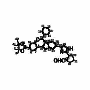 CC1(C)OB(c2ccc3c(c2)OC(c2ccccc2)n2c-3cc3cc(-c4c[nH]c(C5CCCN5C=O)n4)ccc32)OC1(C)C